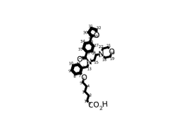 O=C(O)CCCCCOc1ccccc1CN(CCN1CCOCC1)C(=O)c1ccc(-c2ccco2)cc1